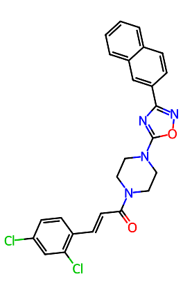 O=C(/C=C/c1ccc(Cl)cc1Cl)N1CCN(c2nc(-c3ccc4ccccc4c3)no2)CC1